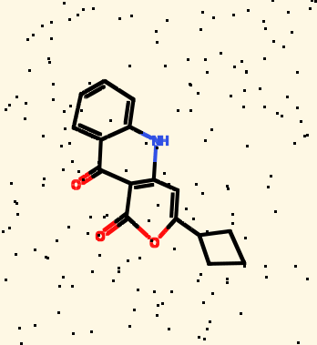 O=c1oc(C2CCC2)cc2[nH]c3ccccc3c(=O)c12